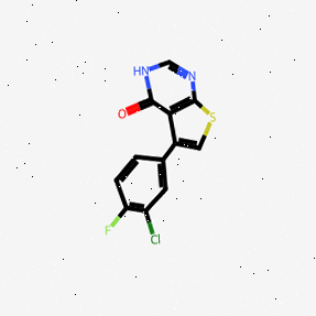 O=c1[nH]cnc2scc(-c3ccc(F)c(Cl)c3)c12